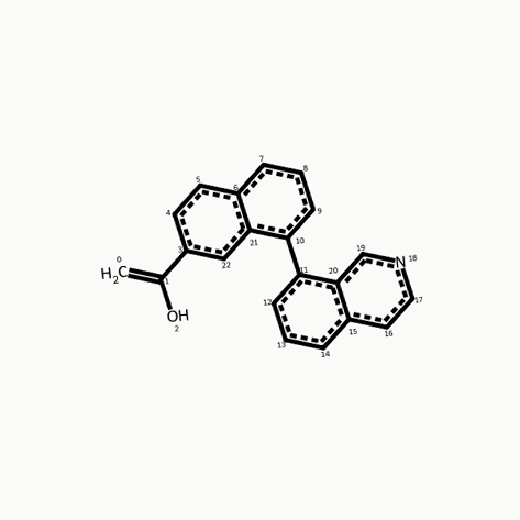 C=C(O)c1ccc2cccc(-c3cccc4ccncc34)c2c1